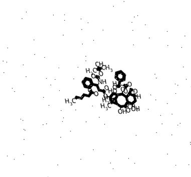 CCCCCC(=O)O[C@@H](C(=O)O[C@H]1C[C@@]2(O)[C@@H](OC(=O)c3ccccc3)C3[C@](C)(C(=O)[C@H](O)C(=C1C)C2(C)C)[C@@H](O)C[C@H]1OC[C@@]31OC(C)=O)[C@@H](NC(=O)OC(C)(C)C)c1ccccc1